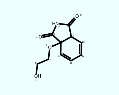 O=C1NC(=O)C2(OCCO)C=CC=CC12